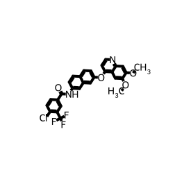 COc1cc2nccc(Oc3ccc4ccc(NC(=O)c5ccc(Cl)c(C(F)(F)F)c5)cc4c3)c2cc1OC